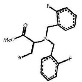 COC(=O)C(CBr)N(Cc1ccccc1F)Cc1ccccc1F